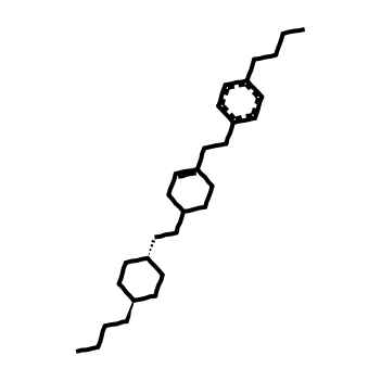 CCCCc1ccc(CCC2=CCC(CC[C@H]3CC[C@H](CCCC)CC3)CC2)cc1